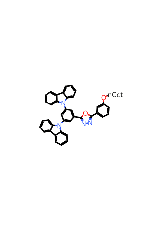 CCCCCCCCOc1cccc(-c2nnc(-c3cc(-n4c5ccccc5c5ccccc54)cc(-n4c5ccccc5c5ccccc54)c3)o2)c1